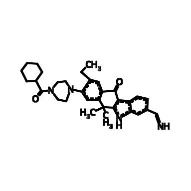 CCc1cc2c(cc1N1CCN(C(=O)C3CCCCC3)CC1)C(C)(C)c1[nH]c3cc(C=N)ccc3c1C2=O